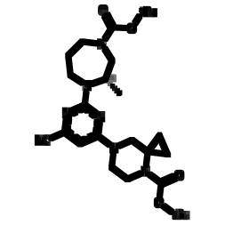 C[C@H]1CN(C(=O)OC(C)(C)C)CCCN1c1nc(C#N)cc(N2CCN(C(=O)OC(C)(C)C)C3(CC3)C2)n1